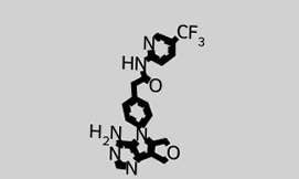 Nc1ncnc2c3c(n(-c4ccc(CC(=O)Nc5ccc(C(F)(F)F)cn5)cc4)c12)COC3